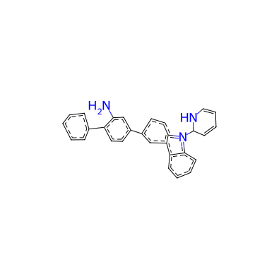 Nc1cc(-c2ccc3c(c2)c2ccccc2n3C2C=CC=CN2)ccc1-c1ccccc1